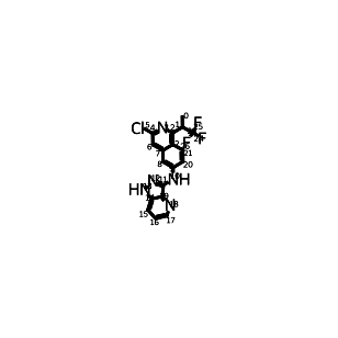 CC(c1nc(Cl)cc2cc(Nc3n[nH]c4cccnc34)ccc12)C(F)(F)F